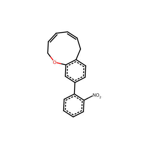 O=[N+]([O-])c1ccccc1-c1ccc2c(c1)OC/C=C\C=C/C2